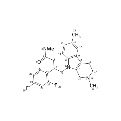 CNC(=O)CC(Cn1c2c(c3cc(C)ccc31)CCN(C)C2)c1ccc(F)cc1F